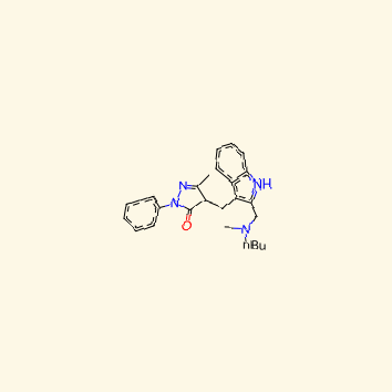 CCCCN(C)Cc1[nH]c2ccccc2c1CC1C(=O)N(c2ccccc2)N=C1C